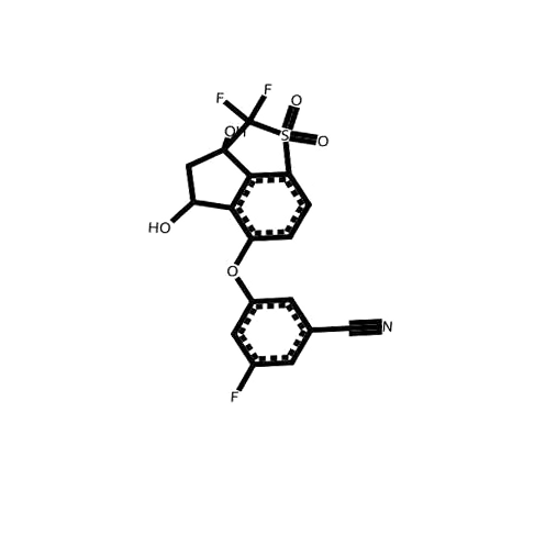 N#Cc1cc(F)cc(Oc2ccc3c4c2C(O)CC4(O)C(F)(F)S3(=O)=O)c1